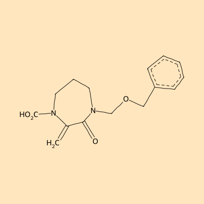 C=C1C(=O)N(COCc2ccccc2)CCCN1C(=O)O